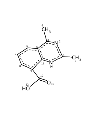 Cc1nc(C)c2cccc(C(=O)O)c2n1